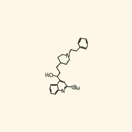 CC(C)(C)c1cc(C(O)CCC2CCN(CCc3ccccc3)CC2)c2ccccc2n1